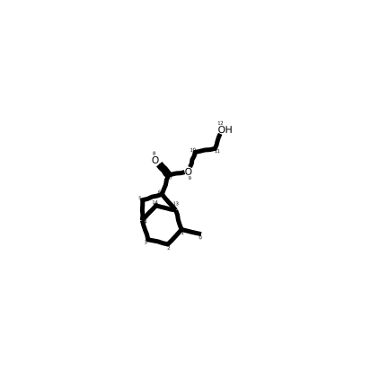 CC1CCC2CC(C(=O)OCCO)C1C2